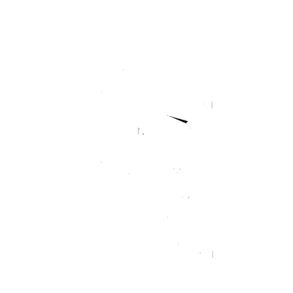 COC(=O)c1ccccc1C(=O)N1CCCC[C@H]1CO